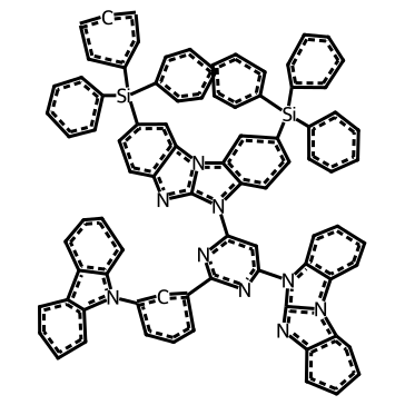 c1ccc([Si](c2ccccc2)(c2ccccc2)c2ccc3nc4n(-c5cc(-n6c7ccccc7n7c8ccccc8nc67)nc(-c6cccc(-n7c8ccccc8c8ccccc87)c6)n5)c5ccc([Si](c6ccccc6)(c6ccccc6)c6ccccc6)cc5n4c3c2)cc1